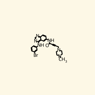 CN1CCN(CC#CC(=O)Nc2ccc3ncnc(Nc4cccc(Br)c4)c3c2)CC1